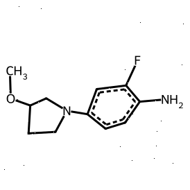 COC1CCN(c2ccc(N)c(F)c2)C1